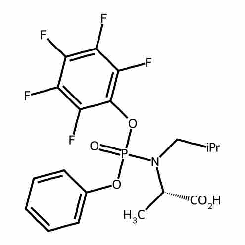 CC(C)CN([C@@H](C)C(=O)O)P(=O)(Oc1ccccc1)Oc1c(F)c(F)c(F)c(F)c1F